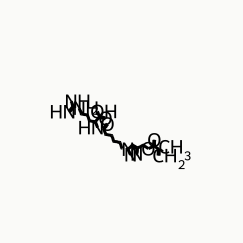 C=C(C)C(=O)OCc1cn(CCCCCC(=O)NC(CCCNC(=N)N)C(=O)O)nn1